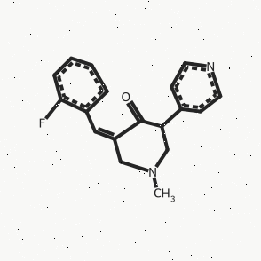 CN1CC(=Cc2ccccc2F)C(=O)C(c2ccncc2)C1